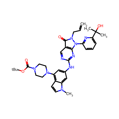 C=CCn1c(=O)c2cnc(Nc3cc(N4CCN(C(=O)OC(C)(C)C)CC4)c4ccn(C)c4c3)nc2n1-c1cccc(C(C)(C)O)n1